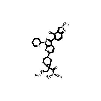 CN(C)C(=O)C1(CNC(=O)O)C2CCN(c3cnc4c(-c5ccc6nn(C)cc6c5Cl)nn(C5CCCCO5)c4n3)CC21